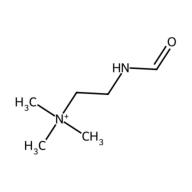 C[N+](C)(C)CCNC=O